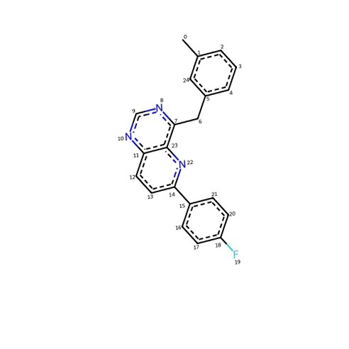 Cc1cccc(Cc2ncnc3ccc(-c4ccc(F)cc4)nc23)c1